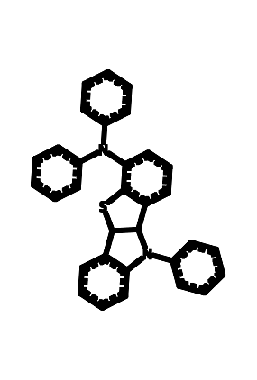 c1ccc(N(c2ccccc2)c2cccc3c2SC2c4ccccc4N(c4ccccc4)C32)cc1